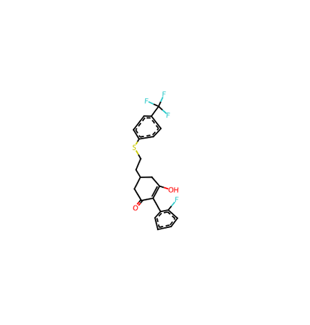 O=C1CC(CCSc2ccc(C(F)(F)F)cc2)CC(O)=C1c1ccccc1F